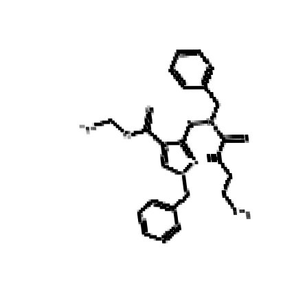 CCCNC(=O)N(Cc1ccccc1)Sc1nn(Cc2ccccc2)cc1C(=O)OCC